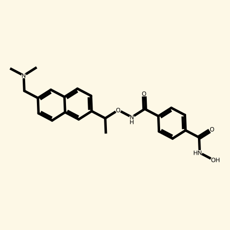 CC(ONC(=O)c1ccc(C(=O)NO)cc1)c1ccc2cc(CN(C)C)ccc2c1